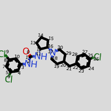 O=C(Nc1cc(Cl)cc(Cl)c1)N[C@@H]1CCC[C@H]1N1CCC(Cc2ccc(Cl)cc2)CC1